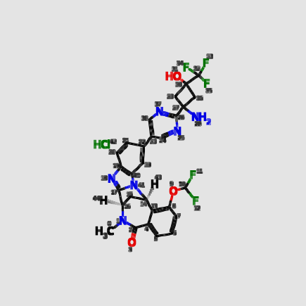 CN1C(=O)c2cccc(OC(F)F)c2[C@H]2C[C@@H]1c1nc3ccc(-c4cnc(C5(N)CC(O)(C(F)(F)F)C5)nc4)cc3n12.Cl